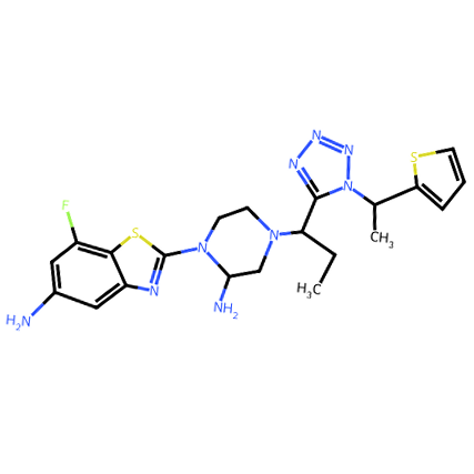 CCC(c1nnnn1C(C)c1cccs1)N1CCN(c2nc3cc(N)cc(F)c3s2)C(N)C1